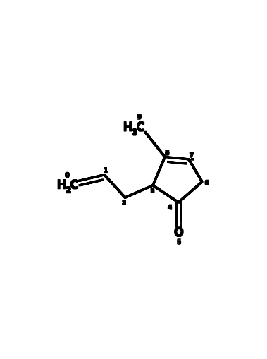 C=CCC1C(=O)C[C]=C1C